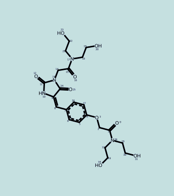 O=C(COc1ccc(C=C2NC(=O)N(CC(=O)N(CCO)CCO)C2=O)cc1)N(CCO)CCO